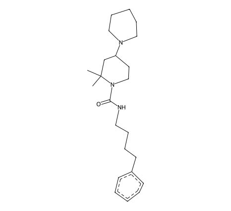 CC1(C)CC(N2CCCCC2)CCN1C(=O)NCCCCc1ccccc1